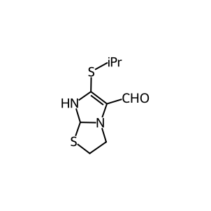 CC(C)SC1=C(C=O)N2CCSC2N1